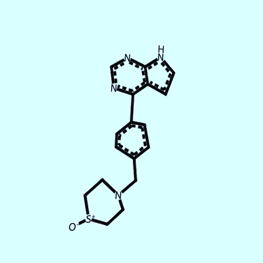 [O-][S+]1CCN(Cc2ccc(-c3ncnc4[nH]ccc34)cc2)CC1